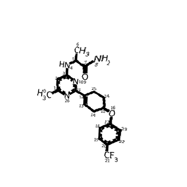 Cc1cc(NC(C)C(N)=O)nc(C2=CCC(Oc3ccc(C(F)(F)F)cc3)CC2)n1